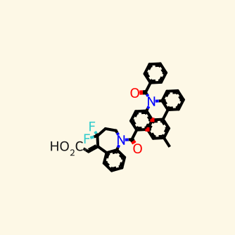 Cc1cccc(-c2ccccc2N(C(=O)c2ccccc2)c2ccc(C(=O)N3CCC(F)(F)C(=CC(=O)O)c4ccccc43)cc2)c1